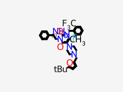 Cc1c(N2CCN(Cc3ccc(C(C)(C)C)o3)CC2)c(=O)n(C[C@@H](N)c2ccccc2)c(=O)n1Cc1c(F)cccc1C(F)(F)F